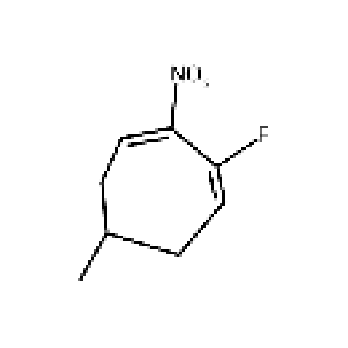 CC1CC=C(F)C([N+](=O)[O-])=CC1